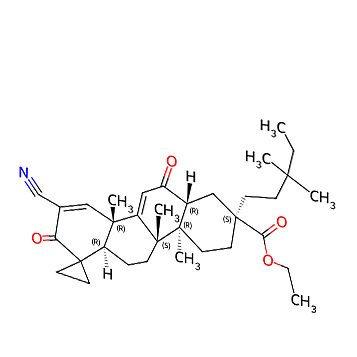 CCOC(=O)[C@@]1(CCC(C)(C)CC)CC[C@]2(C)[C@@H](C1)C(=O)C=C1[C@@]3(C)C=C(C#N)C(=O)C4(CC4)[C@@H]3CC[C@]12C